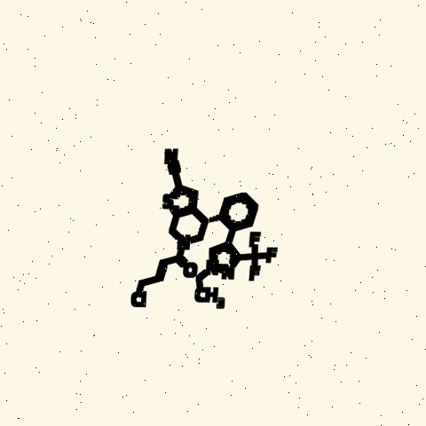 CCn1cc(-c2ccccc2[C@@H]2CN(C(=O)/C=C/CCl)Cc3sc(C#N)cc32)c(C(F)(F)F)n1